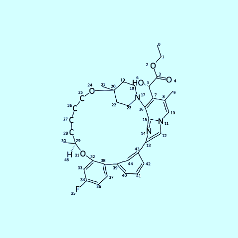 CCOC(=O)[C@@H](O)c1c(C)cn2cc3nc2c1N1CCC(C)(CC1)OCCCC[C@H](C)Oc1cc(F)ccc1-c1cccc-3c1